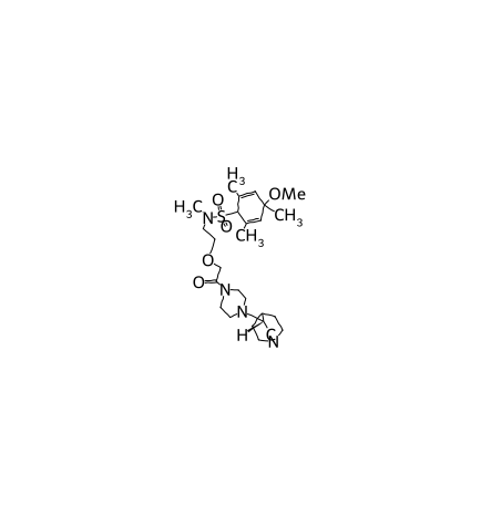 COC1(C)C=C(C)C(S(=O)(=O)N(C)CCOCC(=O)N2CCN([C@H]3CN4CCC3CC4)CC2)C(C)=C1